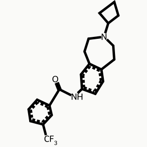 O=C(Nc1ccc2c(c1)CCN(C1CCC1)CC2)c1cccc(C(F)(F)F)c1